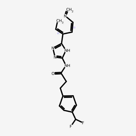 C=N/C=C\C(=C/C)c1nnc(NC(=O)CCc2ccc(C(F)F)cc2)[nH]1